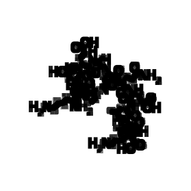 CC[C@H](C)[C@H](NC(=O)[C@@H](N)CCCCN)C(=O)N[C@@H](CC(=O)O)C(=O)N[C@@H](CCC(=O)O)C(=O)N[C@@H](C)C(=O)N[C@@H](CC(N)=O)C(=O)N[C@@H](CCC(N)=O)C(=O)N[C@@H](CCC(=O)O)C(=O)N[C@@H](CC(C)C)C(=O)N[C@H](C(=O)N[C@@H](CCCCN)C(=O)O)[C@@H](C)O